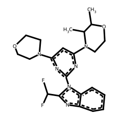 CC1OCCN(c2cc(N3CCOCC3)nc(-n3c(C(F)F)nc4ccccc43)n2)C1C